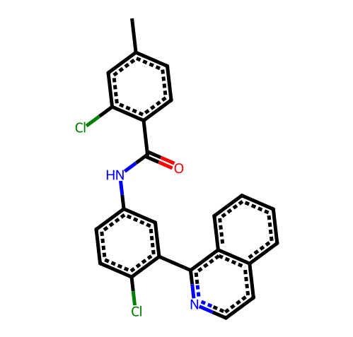 Cc1ccc(C(=O)Nc2ccc(Cl)c(-c3nccc4ccccc34)c2)c(Cl)c1